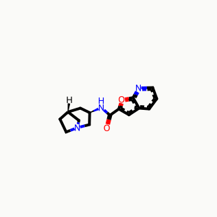 O=C(N[C@@H]1C[C@H]2CCN(C2)C1)c1cc2cccnc2o1